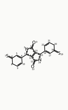 O=c1nc(C2=CC(=S)CC=C2)c2c(=O)nc(C3=CC(=S)CC=C3)c1=2